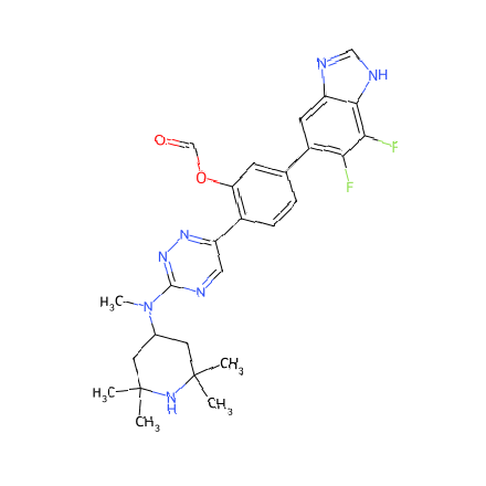 CN(c1ncc(-c2ccc(-c3cc4nc[nH]c4c(F)c3F)cc2OC=O)nn1)C1CC(C)(C)NC(C)(C)C1